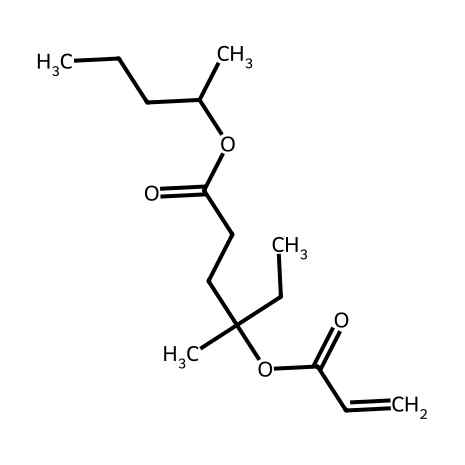 C=CC(=O)OC(C)(CC)CCC(=O)OC(C)CCC